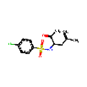 C=C(C)CC(NS(=O)(=O)c1ccc(Cl)cc1)C(C)=O